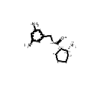 Nc1cc(N)cc(COC(=O)[C@H]2CCCC[C@H]2N)c1